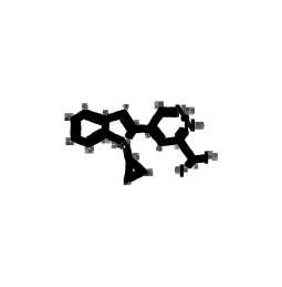 FC(F)c1cc(-c2cc3ccccc3n2C2CC2)cnn1